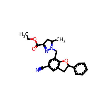 CCOC(=O)C1=NN(Cc2cc(C#N)cc3c2OC(c2ccccc2)C3)C(C)C1